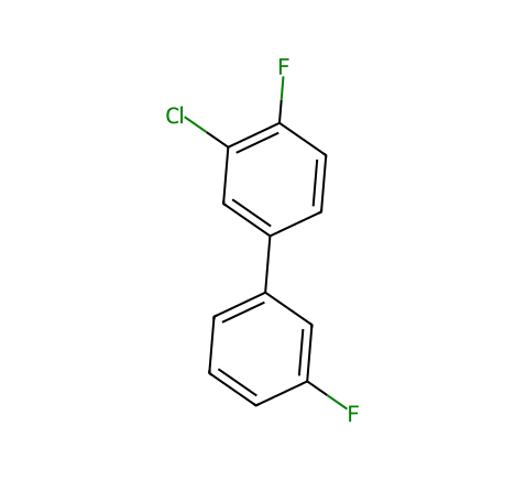 Fc1cccc(-c2ccc(F)c(Cl)c2)c1